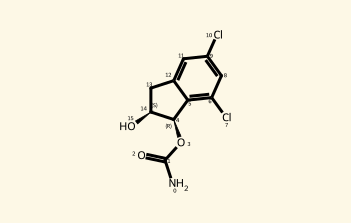 NC(=O)O[C@@H]1c2c(Cl)cc(Cl)cc2C[C@@H]1O